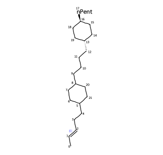 C/C=C/CCC1CCC(CCCC[C@H]2CC[C@H](CCCCC)CC2)CC1